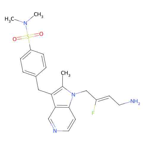 Cc1c(Cc2ccc(S(=O)(=O)N(C)C)cc2)c2cnccc2n1C/C(F)=C/CN